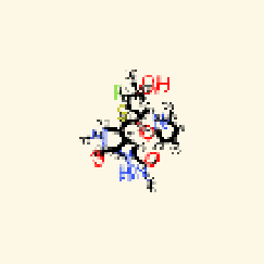 CCNC(=O)c1cc2c(-c3sc(C(F)C(C)(C)O)c(C)c3Oc3cc(C)cc(C)n3)cn(C)c(=O)c2[nH]1